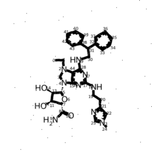 CCN1CN([C@@H]2O[C@H](C(N)=O)[C@@H](O)[C@H]2O)c2nc(NCCc3cn(C)cn3)nc(NCC(c3ccccc3)c3ccccc3)c21